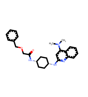 CN(C)c1cc(N[C@H]2CC[C@@H](NC(=O)COCc3ccccc3)CC2)nc2ccccc12